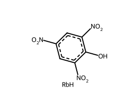 O=[N+]([O-])c1cc([N+](=O)[O-])c(O)c([N+](=O)[O-])c1.[RbH]